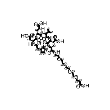 CC(C)[C@H](NC(=O)[C@H](CCC(=O)O)NC(=O)[C@H](CC(=O)O)NC(=O)Cn1ccnn1)C(=O)N[C@@H](CC(=O)O)C(=O)N[C@@H](C)C(=O)NCCOCCOCCOCCOCCC(=O)O